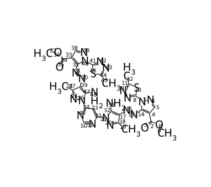 COC(=O)c1cnn(-c2nnc(C)s2)c1/N=N/c1c(C)nn(-c2cc(-n3nc(C)c(/N=N/c4c(C(=O)OC)cnn4-c4nnc(C)s4)c3N)ncn2)c1N